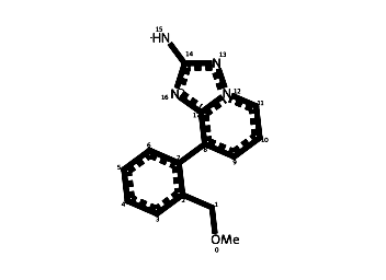 COCc1ccccc1-c1cccn2nc([NH])nc12